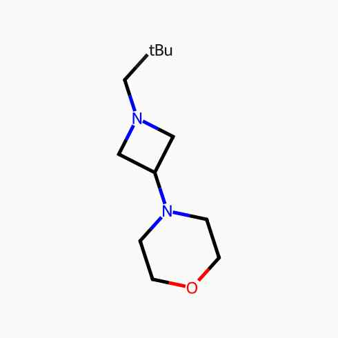 CC(C)(C)CN1CC(N2CCOCC2)C1